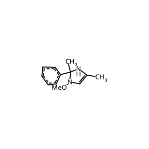 CON1C=C(C)NC1(C)c1ccccc1